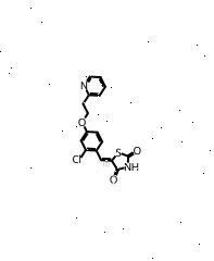 O=C1NC(=O)/C(=C/c2ccc(OCCc3ccccn3)cc2Cl)S1